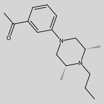 CCCN1[C@H](C)CN(c2cccc(C(C)=O)c2)C[C@@H]1C